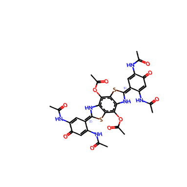 CC(=O)NC1=C/C(=C2\Nc3c(OC(C)=O)c4c(c(OC(C)=O)c3S2)N/C(=C2/C=C(NC(C)=O)C(=O)C=C2NC(C)=O)S4)C(NC(C)=O)=CC1=O